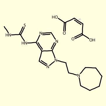 CNC(=S)Nc1ncnc2c1cnn2CCN1CCCCCC1.O=C(O)/C=C\C(=O)O